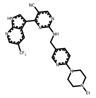 CCN1CCN(c2ccc(CNc3ncc(C#N)c(-c4c[nH]c5ncc(C(F)(F)F)cc45)n3)cn2)CC1